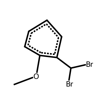 COc1ccccc1C(Br)Br